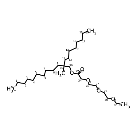 CCCCCCCCCCC(C)(CCCCCCCC)COC(=O)COCCOCCOCC